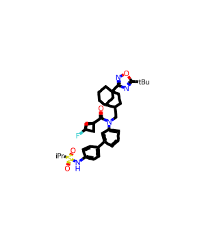 CC(C)S(=O)(=O)Nc1ccc(-c2cccc(N(CC3CCC4(c5noc(C(C)(C)C)n5)CCCC3C4)C(=O)C34CC(F)(C3)C4)c2)cc1